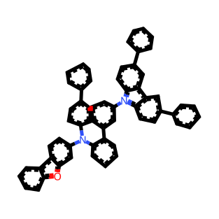 c1ccc(-c2ccc(N(c3ccc4c(c3)oc3ccccc34)c3ccccc3-c3cccc(-n4c5ccc(-c6ccccc6)cc5c5cc(-c6ccccc6)ccc54)c3)cc2)cc1